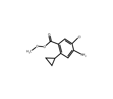 COOC(=O)c1cc(Cl)c(N)cc1C1CC1